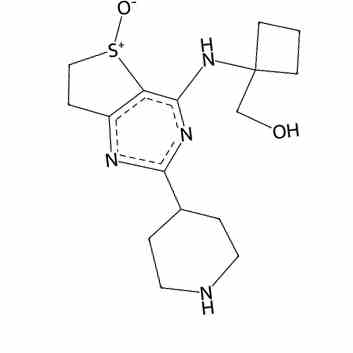 [O-][S+]1CCc2nc(C3CCNCC3)nc(NC3(CO)CCC3)c21